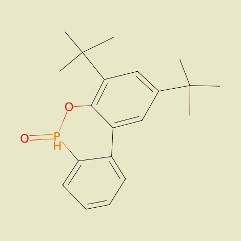 CC(C)(C)c1cc2c(c(C(C)(C)C)c1)O[PH](=O)c1ccccc1-2